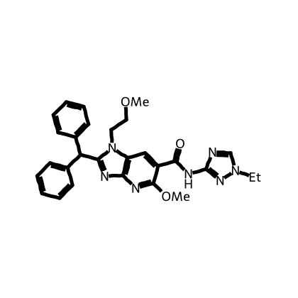 CCn1cnc(NC(=O)c2cc3c(nc2OC)nc(C(c2ccccc2)c2ccccc2)n3CCOC)n1